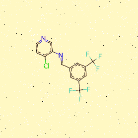 FC(F)(F)c1cc(/C=N/c2cnccc2Cl)cc(C(F)(F)F)c1